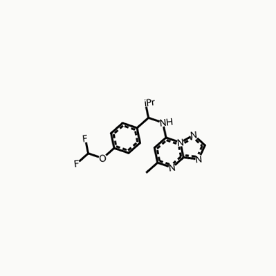 Cc1cc(NC(c2ccc(OC(F)F)cc2)C(C)C)n2ncnc2n1